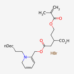 Br.C=C(C)C(=O)OCCC(CC(=O)OCC1=CC=CCN1CCCCCCCCCCCC)C(=O)O